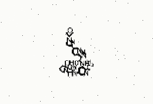 Cc1ncc(NC(=O)CN2CCCC2(C)C)cc1NC(=O)c1nnn2cc(-c3ccn(C4COC4)n3)ccc12